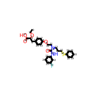 CCOC(Cc1ccc(OCCN(CCCSc2ccccc2)C(=O)Nc2cccc(F)c2)cc1)C(=O)O